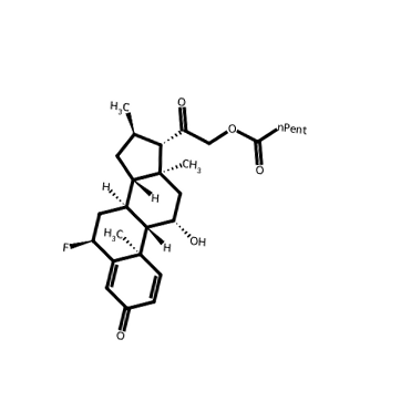 CCCCCC(=O)OCC(=O)[C@H]1[C@H](C)C[C@H]2[C@@H]3C[C@H](F)C4=CC(=O)C=C[C@]4(C)[C@H]3[C@@H](O)C[C@@]21C